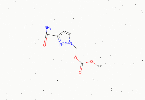 CC(C)OC(=O)OCn1ccc(C(N)=O)n1